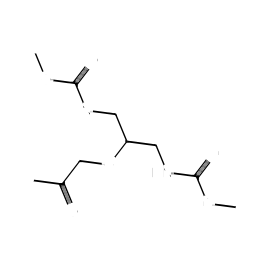 COC(=O)NCC(CNC(=O)OC)OCC(C)=O